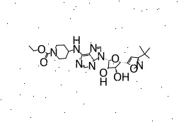 CCOC(=O)N1CCC(Nc2ncnc3c2ncn3[C@@H]2O[C@H](c3cc(C(C)(C)C)no3)[C@@H](O)[C@H]2O)CC1